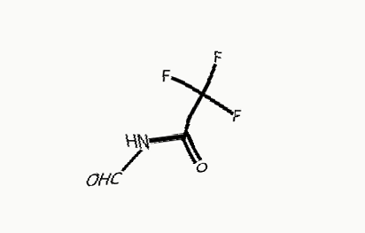 O=CNC(=O)C(F)(F)F